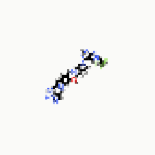 COc1cc2c(cc1CN1CCC3(CCN(c4ncnc5nn(CC(F)(F)F)cc45)C3)C1)cc(C#N)n2Cc1cn[nH]c1